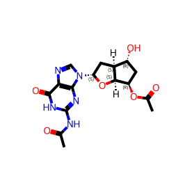 CC(=O)Nc1nc2c(ncn2[C@@H]2C[C@@H]3[C@H](O2)[C@H](OC(C)=O)C[C@H]3O)c(=O)[nH]1